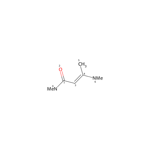 CNC(=O)C=C(C)NC